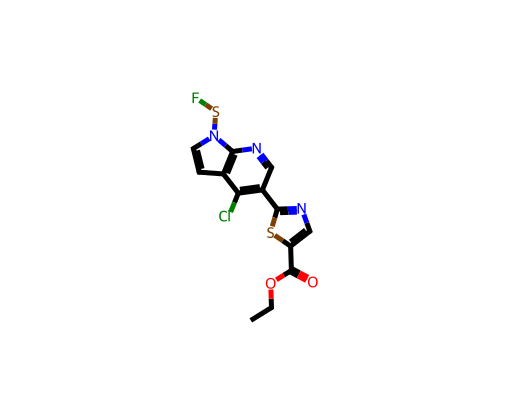 CCOC(=O)c1cnc(-c2cnc3c(ccn3SF)c2Cl)s1